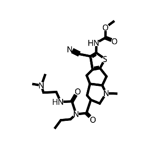 CCCN(C(=O)NCCN(C)C)C(=O)C1CC2Cc3c(sc(NC(=O)OC)c3C#N)CC2N(C)C1